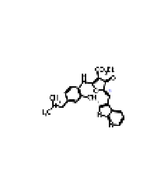 CCOC(=O)C1=C(Nc2ccc(CN(C)C)cc2C)O/C(=C\c2c[nH]c3ncccc23)C1=O